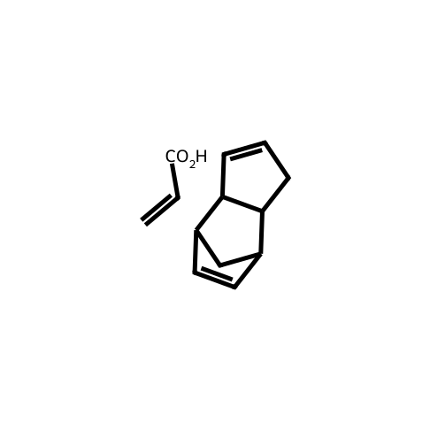 C1=CC2C3C=CC(C3)C2C1.C=CC(=O)O